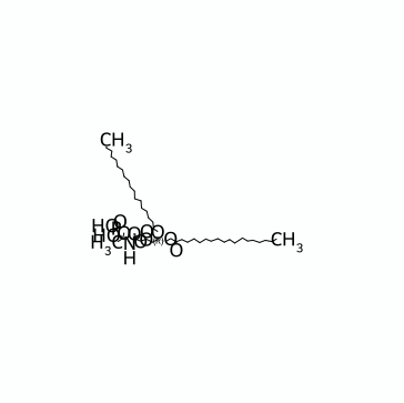 CCCCCCCCCCCCCCCCCC(=O)OC[C@H](COOC(=O)NC(C)OP(=O)(O)O)OC(=O)CCCCCCCCCCCCCCCCC